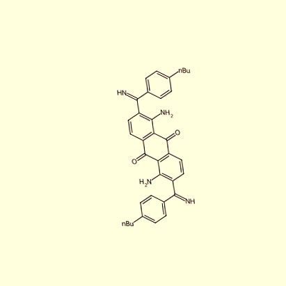 CCCCc1ccc(C(=N)c2ccc3c(c2N)C(=O)c2ccc(C(=N)c4ccc(CCCC)cc4)c(N)c2C3=O)cc1